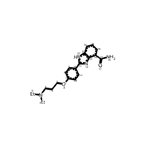 CCN(CC)CCCOc1ccc(-c2nc3c(C(N)=O)cccc3[nH]2)cc1